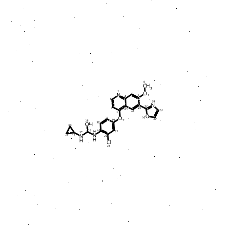 COc1cc2nccc(Oc3ccc(NC(O)NC4CC4)c(Cl)c3)c2cc1-c1ncco1